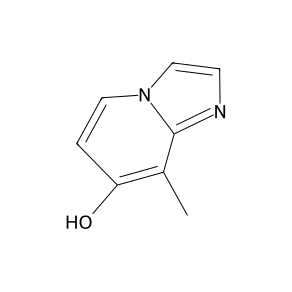 Cc1c(O)ccn2ccnc12